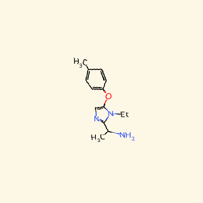 CCn1c(Oc2ccc(C)cc2)cnc1C(C)N